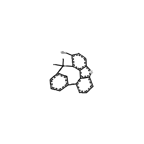 CC(C)(C)c1ccc2oc3cccc4c3c2c1C(C)(C)c1cccc-4c1